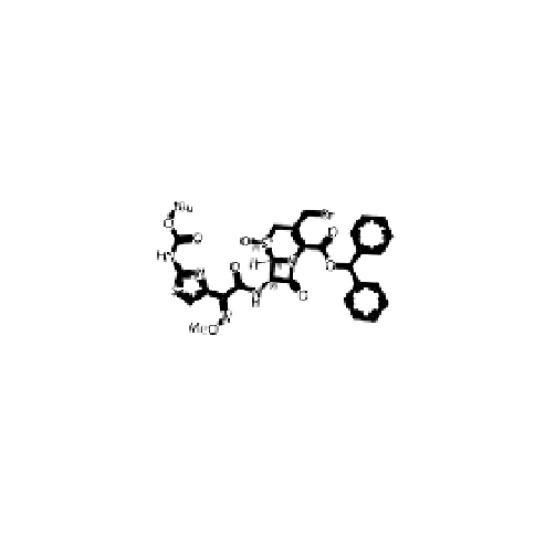 CON=C(C(=O)N[C@@H]1C(=O)N2C(C(=O)OC(c3ccccc3)c3ccccc3)=C(CBr)C[S@+]([O-])[C@H]12)c1csc(NC(=O)OC(C)(C)C)n1